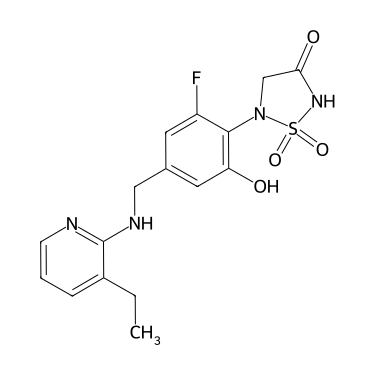 CCc1cccnc1NCc1cc(O)c(N2CC(=O)NS2(=O)=O)c(F)c1